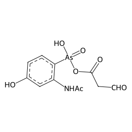 CC(=O)Nc1cc(O)ccc1[As](=O)(O)OC(=O)CC=O